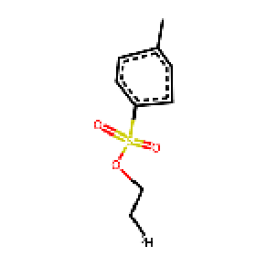 [3H]CCOS(=O)(=O)c1ccc(C)cc1